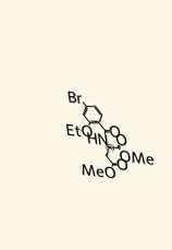 CCOc1cc(Br)ccc1C(=O)N[C@H](CC(=O)OC)C(=O)OC